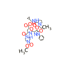 CCOC(=O)N1CCN(C(=O)C(CCC(=O)O)NC(=O)c2cc(OC(C)C(=O)N3CCCC3C(=O)NCC3CC3)n(-c3ccccc3)n2)CC1